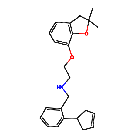 CC1(C)Cc2cccc(OCCNCc3ccccc3C3CC=CC3)c2O1